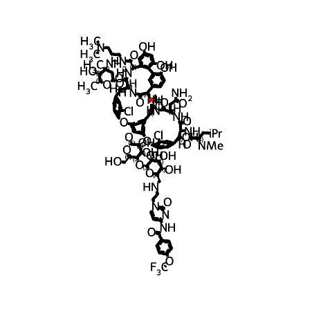 CN[C@H](CC(C)C)C(=O)NC1C(=O)N[C@@H](CC(N)=O)C(=O)N[C@H]2C(=O)N[C@H]3C(=O)N[C@H](C(=O)N[C@@H](C(=O)NCCCN(C)C)c4cc(O)cc(O)c4-c4cc3ccc4O)[C@H](OC3C[C@](C)(N)[C@@H](O)[C@H](C)O3)c3ccc(c(Cl)c3)Oc3cc2cc(c3O[C@@H]2O[C@H](CO)[C@@H](O[C@@H]3O[C@H](CNCCn4ccc(NC(=O)c5ccc(OC(F)(F)F)cc5)nc4=O)[C@H](O)[C@H](O)[C@H]3O)[C@H](O)[C@H]2O)Oc2ccc(cc2Cl)[C@H]1O